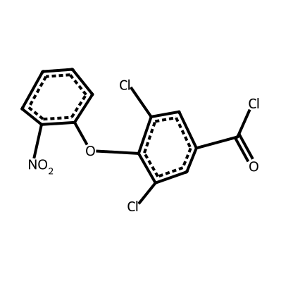 O=C(Cl)c1cc(Cl)c(Oc2ccccc2[N+](=O)[O-])c(Cl)c1